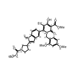 CCc1c(O)c(C(=O)OC)c(=O)n(Cc2ccc(OC)cc2OC)c1-c1ccc2c(c1)cc(C1CCN(C(=O)OC(C)(C)C)C1)n2C